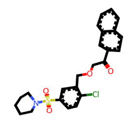 O=C(COCc1cc(S(=O)(=O)N2CCCCC2)ccc1Cl)c1ccc2ccccc2c1